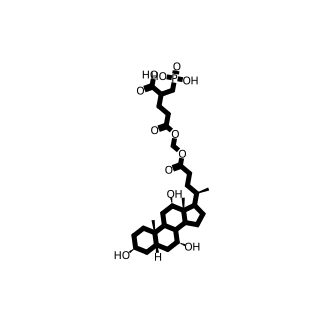 C[C@H](CCC(=O)OCOC(=O)CCC(CP(=O)(O)O)C(=O)O)C1CCC2C3C(C[C@H](O)[C@@]21C)[C@@]1(C)CC[C@@H](O)C[C@H]1C[C@H]3O